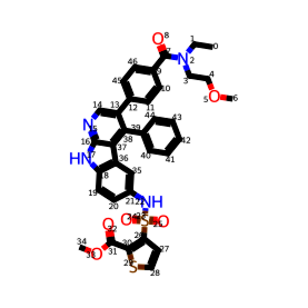 CCN(CCOC)C(=O)c1ccc(-c2cnc3[nH]c4ccc(NS(=O)(=O)c5ccsc5C(=O)OC)cc4c3c2-c2ccccc2)cc1